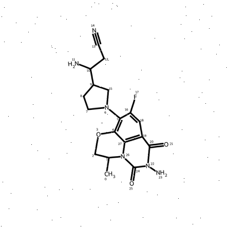 CC1COc2c(N3CCC(C(N)CC#N)C3)c(F)cc3c(=O)n(N)c(=O)n1c23